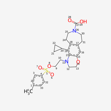 Cc1ccc(S(=O)(=O)OCCN2CCOc3cc4c(c(C5CC5)c32)CCN(C(=O)O)CC4)cc1